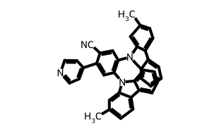 Cc1ccc2c3ccccc3n(-c3cc(C#N)c(-c4ccncc4)cc3-n3c4ccccc4c4ccc(C)cc43)c2c1